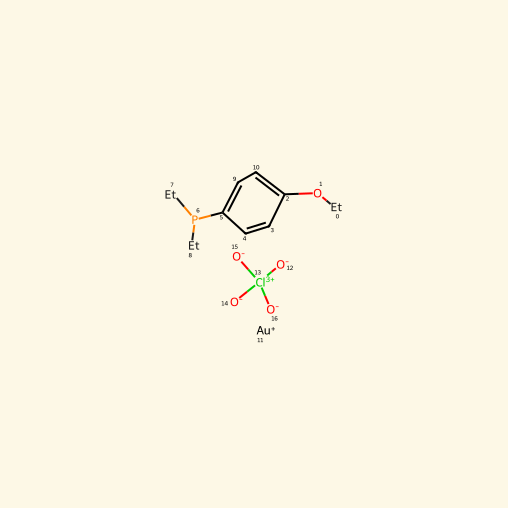 CCOc1ccc(P(CC)CC)cc1.[Au+].[O-][Cl+3]([O-])([O-])[O-]